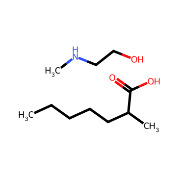 CCCCCC(C)C(=O)O.CNCCO